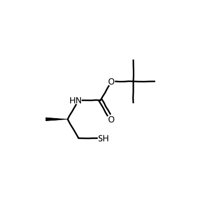 C[C@H](CS)NC(=O)OC(C)(C)C